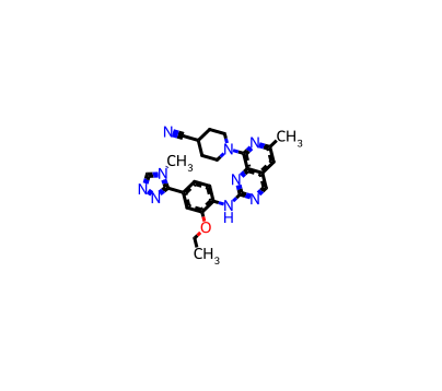 CCOc1cc(-c2nncn2C)ccc1Nc1ncc2cc(C)nc(N3CCC(C#N)CC3)c2n1